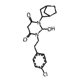 O=C1CC(=O)N(C2CC3CCC2C3)C(O)N1CCc1ccc(Cl)cc1